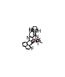 CCSc1nc2c3c(nc(-c4cccc5ccc(F)c(C#CSP(I)I)c45)c(F)c3n1)CC[C@@H]1[C@@H]3CC[C@H](CN21)N3